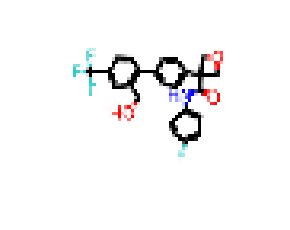 O=C(Nc1ccc(F)cc1)C1(c2ccc(-c3ccc(C(F)(F)F)cc3CO)cc2)COC1